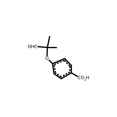 CC(C)(C=O)Oc1ccc(C(=O)O)cc1